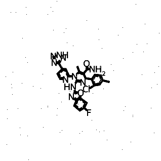 CC1=C(C(N)=O)C(c2ccc(C)cc2Cl)N=C(Nc2nc3ccc(F)cc3o2)N1c1cc(-c2nn[nH]n2)ccn1